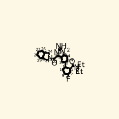 CCN(CC)C(=O)c1cc(F)ccc1-c1ccc2nc(N)nc(C(=O)N3Cc4ccccc4C3)c2c1